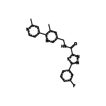 Cc1cc(-c2ncc(CNC(=O)c3nnc(-c4cccc(F)c4)s3)cc2C)ccn1